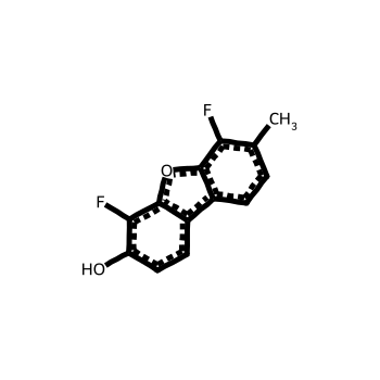 Cc1ccc2c(oc3c(F)c(O)ccc32)c1F